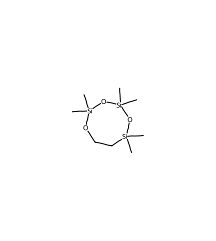 C[Si]1(C)CCO[Si](C)(C)O[Si](C)(C)O1